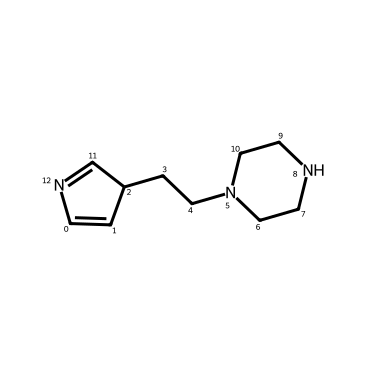 C1=CC(CCN2CCNCC2)C=N1